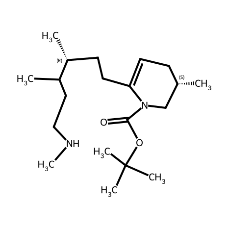 CNCCC(C)[C@H](C)CCC1=CC[C@H](C)CN1C(=O)OC(C)(C)C